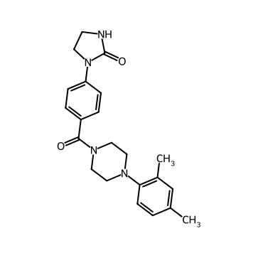 Cc1ccc(N2CCN(C(=O)c3ccc(N4CCNC4=O)cc3)CC2)c(C)c1